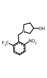 O=[N+]([O-])c1cccc(C(F)(F)F)c1CN1CCC(O)C1